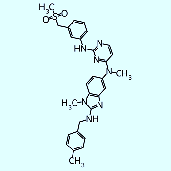 Cc1ccc(CNc2nc3cc(N(C)c4ccnc(Nc5cccc(CS(C)(=O)=O)c5)n4)ccc3n2C)cc1